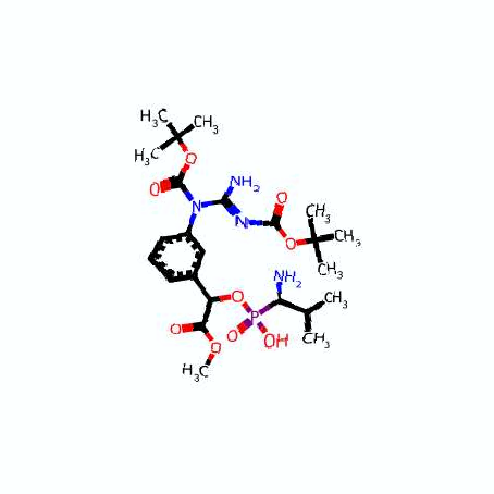 COC(=O)C(OP(=O)(O)[C@@H](N)C(C)C)c1cccc(N(C(=O)OC(C)(C)C)C(N)=NC(=O)OC(C)(C)C)c1